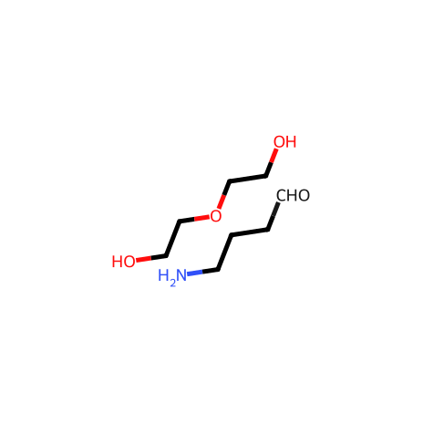 NCCCC=O.OCCOCCO